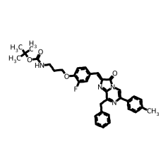 Cc1ccc(C2=CN3C(=O)/C(=C/c4ccc(OCCCNC(=O)OC(C)(C)C)c(F)c4)N=C3C(Cc3ccccc3)=N2)cc1